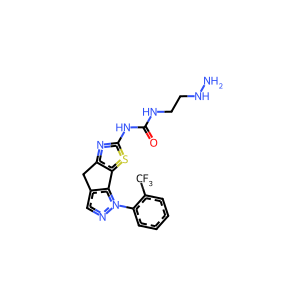 NNCCNC(=O)Nc1nc2c(s1)-c1c(cnn1-c1ccccc1C(F)(F)F)C2